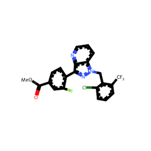 COC(=O)c1ccc(-c2nn(Cc3c(Cl)cccc3C(F)(F)F)c3cccnc23)c(F)c1